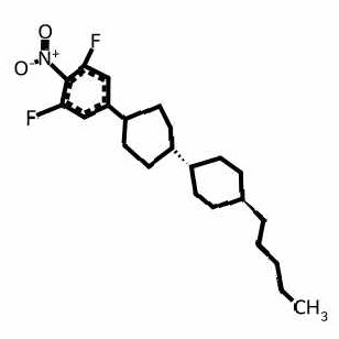 CCCCC[C@H]1CC[C@H](C2CCC(c3cc(F)c([N+](=O)[O-])c(F)c3)CC2)CC1